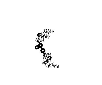 COC(=O)N[C@H](C(=O)N1[C@@H](C)CC[C@H]1c1ncc(-c2ccc(-c3ccc(-c4cnc([C@@H]5CC[C@H](C)N5C(=O)[C@@H](NC(=O)OC)C(C)C)[nH]4)c4c3C3CCC4C3)cc2)[nH]1)C(C)C